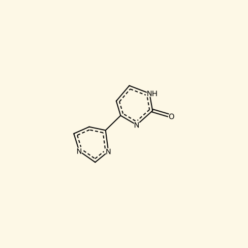 O=c1nc(-c2ccncn2)cc[nH]1